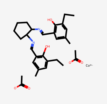 CC(=O)[O-].CC(=O)[O-].CCc1cc(C)cc(C=NC2CCCCC2N=Cc2cc(C)cc(CC)c2O)c1O.[Co+2]